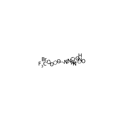 Cn1nc(C2CCC(=O)NC2=O)c2cccc(N3CCN(CCCOC4CCC(Oc5ccc(Br)c(C(F)(F)F)c5)CC4)CC3)c21